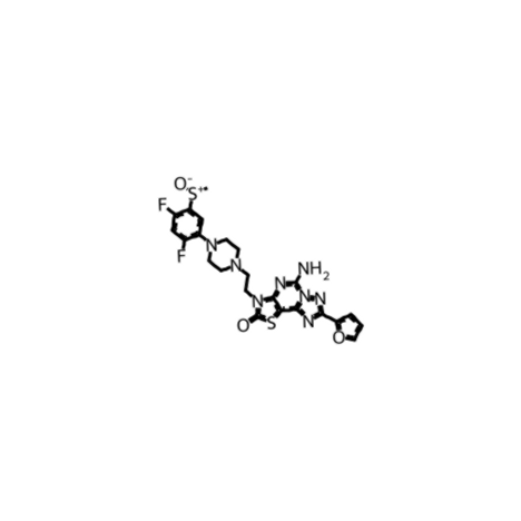 C[S+]([O-])c1cc(N2CCN(CCn3c(=O)sc4c3nc(N)n3nc(-c5ccco5)nc43)CC2)c(F)cc1F